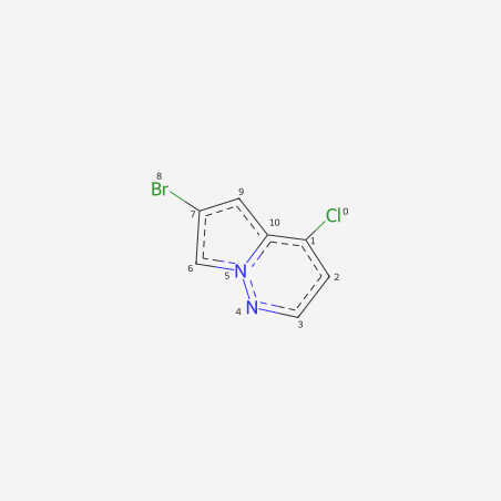 Clc1ccnn2cc(Br)cc12